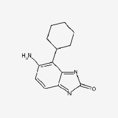 Nc1ccc2c(c1C1CCCCC1)=NC(=O)N=2